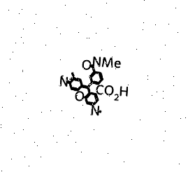 CNC(=O)c1ccc(C(=O)O)c(-c2c3cc(C)c(=[N+](C)C)cc-3oc3cc(N(C)C)ccc23)c1